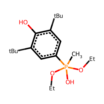 CCOP(C)(O)(OCC)c1cc(C(C)(C)C)c(O)c(C(C)(C)C)c1